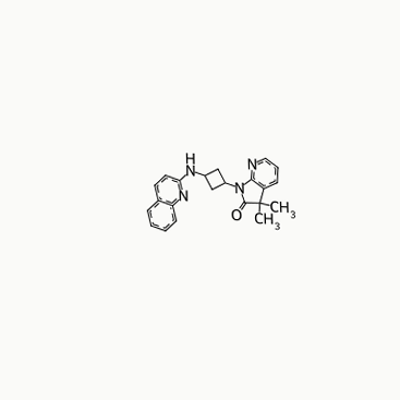 CC1(C)C(=O)N(C2CC(Nc3ccc4ccccc4n3)C2)c2ncccc21